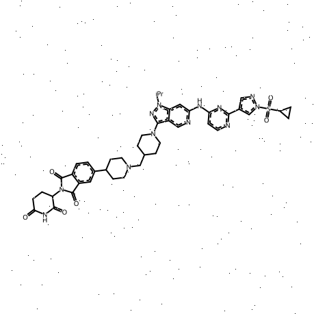 CC(C)n1nc(N2CCC(CN3CCC(c4ccc5c(c4)C(=O)N(C4CCC(=O)NC4=O)C5=O)CC3)CC2)c2cnc(Nc3ccnc(-c4cnn(S(=O)(=O)C5CC5)c4)n3)cc21